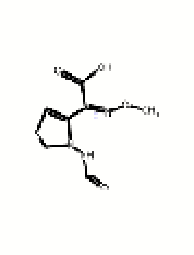 CO/N=C(\C(=O)O)C1=CSCN1NC=O